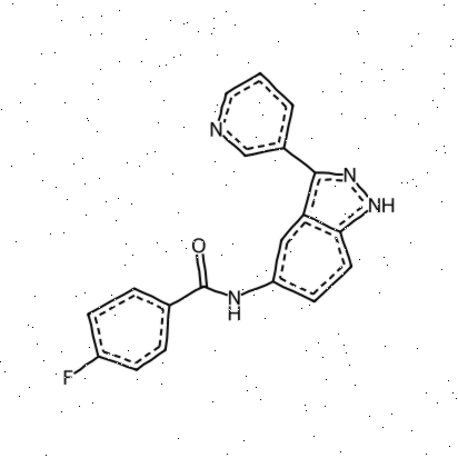 O=C(Nc1ccc2[nH]nc(-c3cccnc3)c2c1)c1ccc(F)cc1